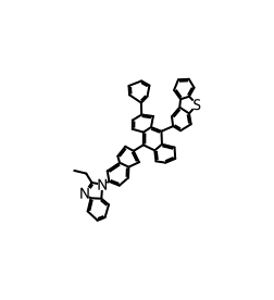 CCc1nc2ccccc2n1-c1ccc2cc(-c3c4ccccc4c(-c4ccc5sc6ccccc6c5c4)c4cc(-c5ccccc5)ccc34)ccc2c1